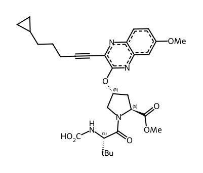 COC(=O)[C@@H]1C[C@@H](Oc2nc3cc(OC)ccc3nc2C#CCCCC2CC2)CN1C(=O)[C@@H](NC(=O)O)C(C)(C)C